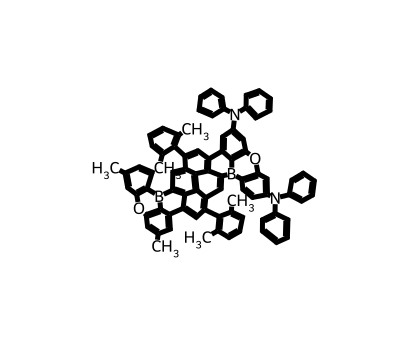 Cc1ccc2c(c1)Oc1cc(C)cc3c1B2c1cc2c(-c4c(C)cccc4C)cc4c5c(cc6c(-c7c(C)cccc7C)cc-3c1c6c25)B1c2ccc(N(c3ccccc3)c3ccccc3)cc2Oc2cc(N(c3ccccc3)c3ccccc3)cc-4c21